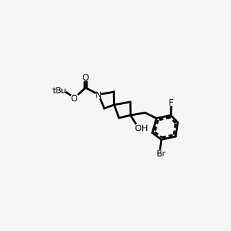 CC(C)(C)OC(=O)N1CC2(C1)CC(O)(Cc1cc(Br)ccc1F)C2